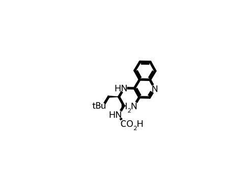 CC(C)(C)C[C@H](CNC(=O)O)Nc1c(N)cnc2ccccc12